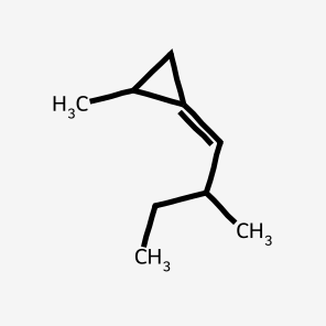 CCC(C)C=C1CC1C